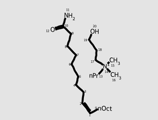 CCCCCCCC/C=C\CCCCCCCC(N)=O.CCC[N+](C)(C)CCCO